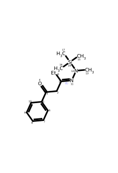 CC/C(CC(=O)c1ccccc1)=N\N(C)[Si](C)(C)C